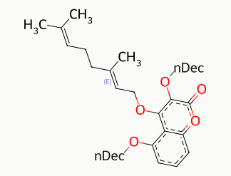 CCCCCCCCCCOc1c(OC/C=C(\C)CCC=C(C)C)c2c(OCCCCCCCCCC)cccc2oc1=O